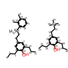 CCCc1cc(CC[SiH2]c2cccc(C)c2C)cc(CCC)c1O.CCCc1cc(CC[Si](C)(C)C)cc(CCC)c1O